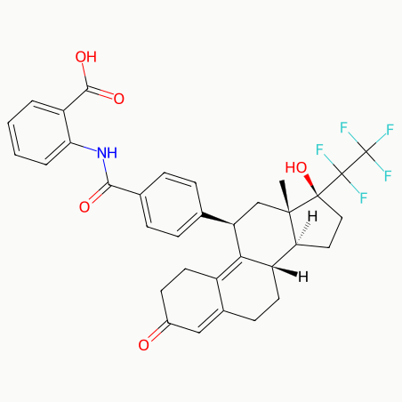 C[C@]12C[C@H](c3ccc(C(=O)Nc4ccccc4C(=O)O)cc3)C3=C4CCC(=O)C=C4CC[C@H]3[C@@H]1CC[C@@]2(O)C(F)(F)C(F)(F)F